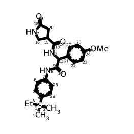 CCS(C)(C)c1ccc(NC(=O)C(NC(=O)C2CNC(=O)C2)c2ccc(OC)cc2)cc1